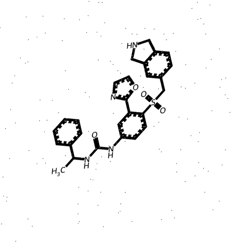 CC(NC(=O)Nc1ccc(S(=O)(=O)Cc2ccc3c(c2)CNC3)c(-c2ncco2)c1)c1ccccc1